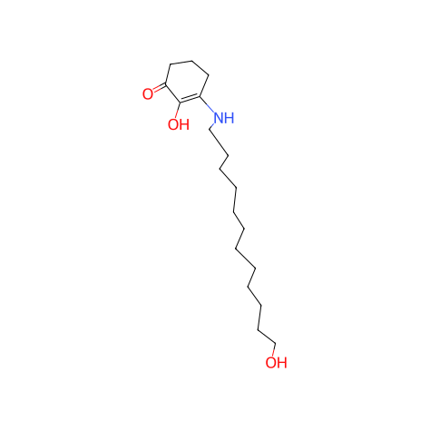 O=C1CCCC(NCCCCCCCCCCCCO)=C1O